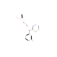 C=C(NCCOC(c1cccc(C)c1)C1CCCNC1)OC